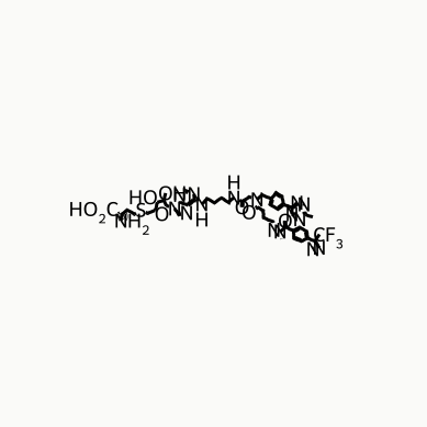 Cc1nnc(-c2ccc(CN(CC(=O)NCCCCNc3ncnc4c3ncn4C3OC(CSCC[C@H](N)C(=O)O)C(O)C3O)C(=O)CCC=NN(C)C(=O)c3ccc(C4(C(F)(F)F)N=N4)cc3)cc2)nn1